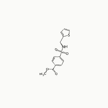 COC(=O)c1ccc(S(=O)(=O)NCc2cccs2)cc1